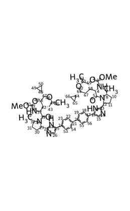 COC(=O)N[C@H](C(=O)N1[C@@H](C)CC[C@H]1c1ncc(-c2ccc(-c3ccc(-c4cnc([C@@H]5CC[C@H](C)N5C(=O)[C@@H](NC(=O)OC)[C@H]5C[C@H](C)O[C@@H](C6CC6)C5)[nH]4)cc3)cc2)[nH]1)[C@H]1C[C@H](C)O[C@@H](C2CC2)C1